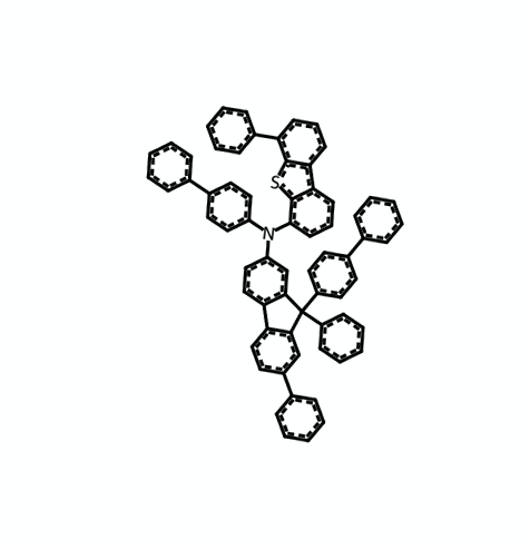 c1ccc(-c2ccc(N(c3ccc4c(c3)C(c3ccccc3)(c3ccc(-c5ccccc5)cc3)c3cc(-c5ccccc5)ccc3-4)c3cccc4c3sc3c(-c5ccccc5)cccc34)cc2)cc1